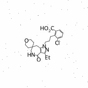 CCc1nn(CCCc2c(Cl)cccc2C(=O)O)c2c1C(=O)NCC1(CCOCC1)C2